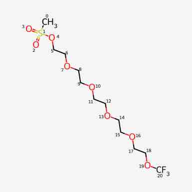 CS(=O)(=O)OCCOCCOCCOCCOCCOC(F)(F)F